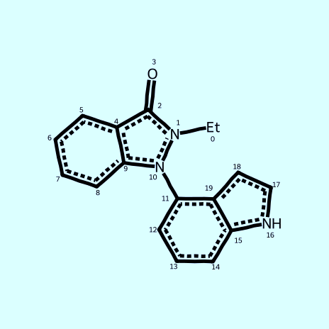 CCn1c(=O)c2ccccc2n1-c1cccc2[nH]ccc12